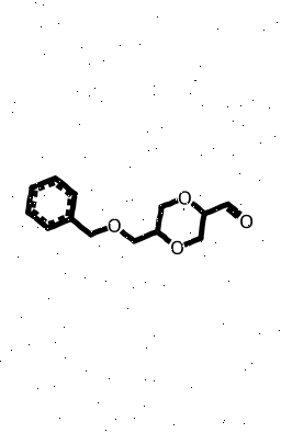 O=CC1COC(COCc2ccccc2)CO1